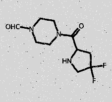 O=CN1CCN(C(=O)C2CC(F)(F)CN2)CC1